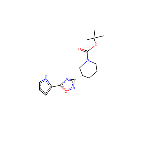 CC(C)(C)OC(=O)N1CCC[C@H](c2noc(-c3ccc[nH]3)n2)C1